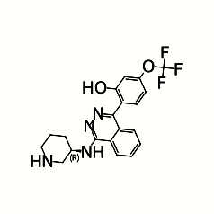 Oc1cc(OC(F)(F)F)ccc1-c1nnc(N[C@@H]2CCCNC2)c2ccccc12